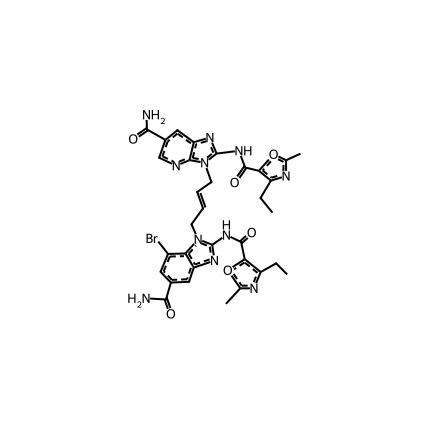 CCc1nc(C)oc1C(=O)Nc1nc2cc(C(N)=O)cnc2n1C/C=C/Cn1c(NC(=O)c2oc(C)nc2CC)nc2cc(C(N)=O)cc(Br)c21